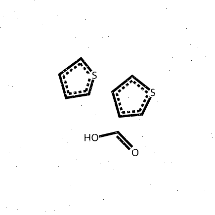 O=CO.c1ccsc1.c1ccsc1